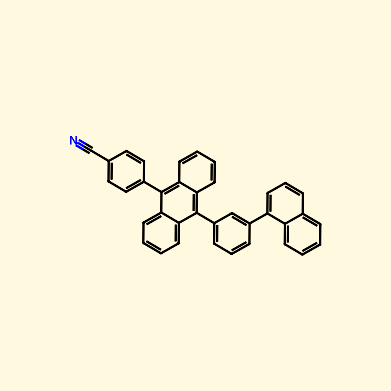 N#Cc1ccc(-c2c3ccccc3c(-c3cccc(-c4cccc5ccccc45)c3)c3ccccc23)cc1